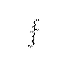 NCCOCCNC(=O)NCCO